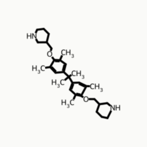 Cc1cc(C(C)(C)c2cc(C)c(OCC3CCCNC3)c(C)c2)cc(C)c1OCC1CCCNC1